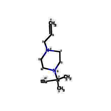 C=CCN1CCN([Si](C)(C)C(C)(C)C)CC1